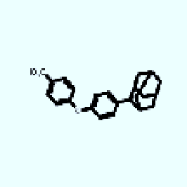 O=C(O)c1ccc(Oc2ccc(C3C4CC5CC(C4)CC3C5)cc2)cc1